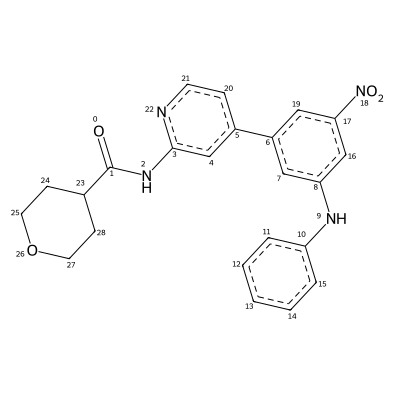 O=C(Nc1cc(-c2cc(Nc3ccccc3)cc([N+](=O)[O-])c2)ccn1)C1CCOCC1